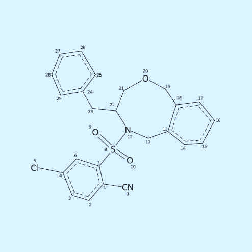 N#Cc1ccc(Cl)cc1S(=O)(=O)N1Cc2ccccc2COCC1Cc1ccccc1